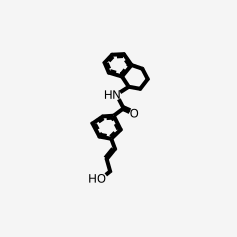 O=C(NC1CCCc2ccccc21)c1cccc(/C=C/CO)c1